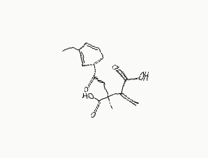 C=C(C(=O)O)C(C)(CC(=O)c1cccc(C)c1)C(=O)O